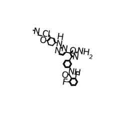 CN(C)CCOC1=C(Cl)C=C(Nc2nccc(-c3oc(N)nc3-c3cccc(NC(=O)c4c(F)cccc4F)c3)n2)CC1